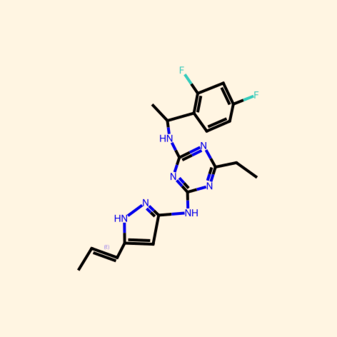 C/C=C/c1cc(Nc2nc(CC)nc(NC(C)c3ccc(F)cc3F)n2)n[nH]1